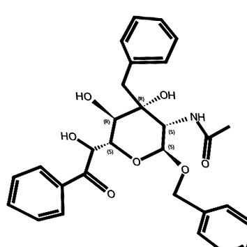 CC(=O)N[C@@H]1[C@@H](OCc2ccccc2)O[C@H](C(O)C(=O)c2ccccc2)[C@@H](O)[C@@]1(O)Cc1ccccc1